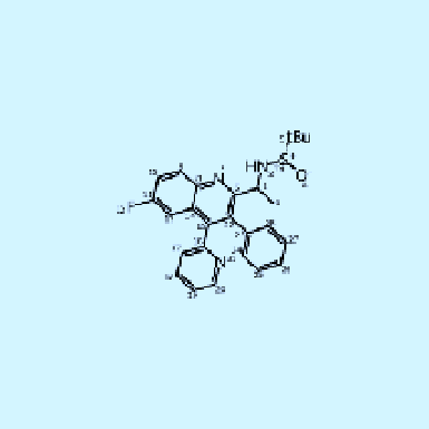 CC(N[S@@+]([O-])C(C)(C)C)c1nc2ccc(F)cc2c(-c2ccccn2)c1-c1ccccc1